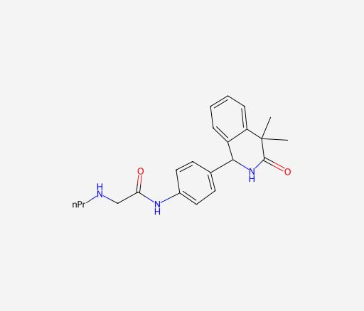 CCCNCC(=O)Nc1ccc(C2NC(=O)C(C)(C)c3ccccc32)cc1